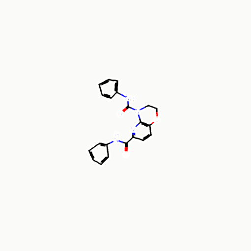 O=C(Nc1ccccc1)c1ccc2c(n1)N(C(=O)Nc1ccccc1)CCO2